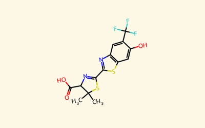 CC1(C)SC(c2nc3cc(C(F)(F)F)c(O)cc3s2)=NC1C(=O)O